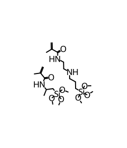 C=C(C)C(=O)NC(C)C[Si](OC)(OC)OC.C=C(C)C(=O)NCCNCCC[Si](OC)(OC)OC